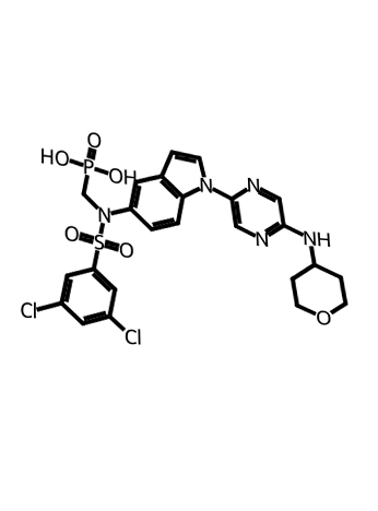 O=P(O)(O)CN(c1ccc2c(ccn2-c2cnc(NC3CCOCC3)cn2)c1)S(=O)(=O)c1cc(Cl)cc(Cl)c1